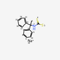 CC(NC(=S)[S-])(c1ccccc1)c1ccccc1.[Na+]